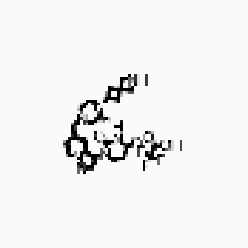 C[C@H]1CN(Cc2ccn3ncc(N4CCC(=O)NC4=O)c3c2)CCN1C1CC2(CNC2)C1.O=C(O)C(F)(F)F